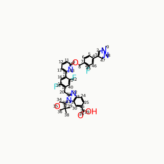 Cn1cc(-c2ccc(COc3cccc(-c4cc(F)c(Cc5nc6ccc(C(=O)O)cc6n5C5COCC5(C)C)cc4F)n3)c(F)c2)cn1